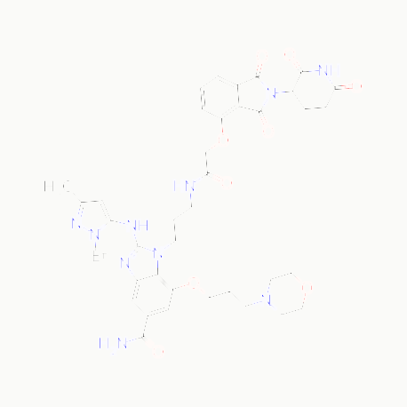 CCn1nc(C)cc1Nc1nc2cc(C(N)=O)cc(OCCCN3CCOCC3)c2n1CCCNC(=O)COc1cccc2c1C(=O)N(C1CCC(=O)NC1=O)C2=O